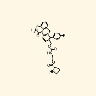 NC(=O)N(c1ccc(COC(=O)NCCOC(=O)[C@@H]2CCCN2)c(-c2ccc(F)cc2)n1)c1c(F)cccc1F